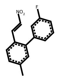 Cc1ccc(/C=C/[N+](=O)[O-])c(-c2cccc(F)c2)c1